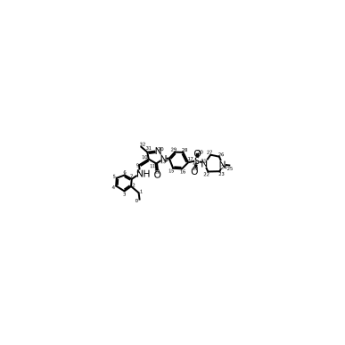 CCc1ccccc1N/C=C1\C(=O)N(c2ccc(S(=O)(=O)N3CCN(C)CC3)cc2)N=C1C